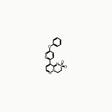 O=S1(=O)CCN2N=CC=C(c3ccc(Oc4ccccc4)cn3)C2=N1